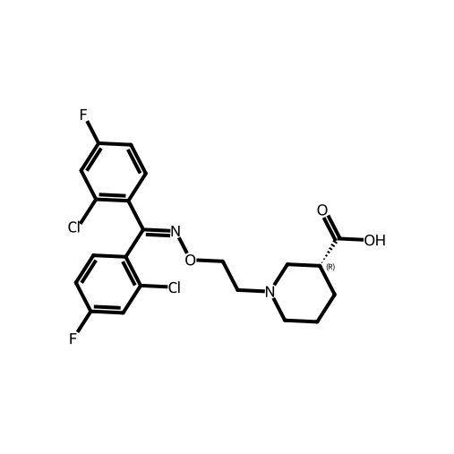 O=C(O)[C@@H]1CCCN(CCON=C(c2ccc(F)cc2Cl)c2ccc(F)cc2Cl)C1